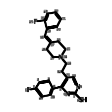 Fc1ccc(-c2nc(S)ncc2CCN2CCC(=Cc3ccccc3F)CC2)cc1